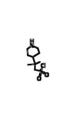 CC(C)(CS(=O)(=O)Cl)C1CCNCC1